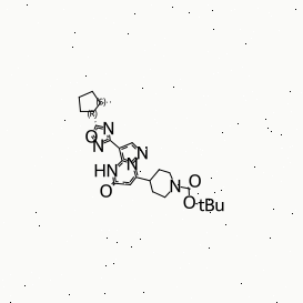 C[C@H]1CCC[C@H]1c1nc(-c2cnn3c(C4CCN(C(=O)OC(C)(C)C)CC4)cc(=O)[nH]c23)no1